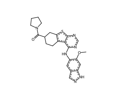 COc1cc2[nH]ncc2cc1Nc1ncnc2sc3c(c12)CCC(C(=O)N1CCCC1)C3